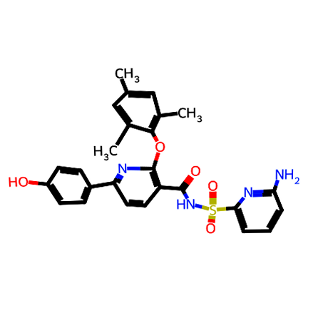 Cc1cc(C)c(Oc2nc(-c3ccc(O)cc3)ccc2C(=O)NS(=O)(=O)c2cccc(N)n2)c(C)c1